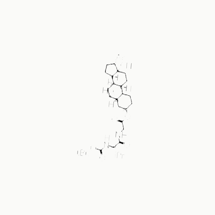 CC(=O)[C@H]1CC[C@H]2[C@@H]3CC[C@H]4C[C@H](OC(=O)CNC(=O)[C@@H](NC(=O)OC(C)(C)C)C(C)C)CC[C@]4(C)[C@H]3CC[C@]12C